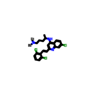 CCN(CC)CCCC(C)Nc1cc(C=Cc2c(Cl)cccc2Cl)nc2cc(Cl)ccc12